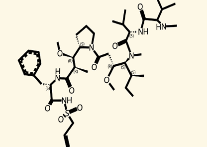 C=CCS(=O)(=O)NC(=O)[C@H](Cc1ccccc1)NC(=O)[C@H](C)[C@@H](OC)[C@@H]1CCCN1C(=O)C[C@@H](OC)[C@H]([C@@H](C)CC)N(C)C(=O)[C@@H](NC(=O)C(NC)C(C)C)C(C)C